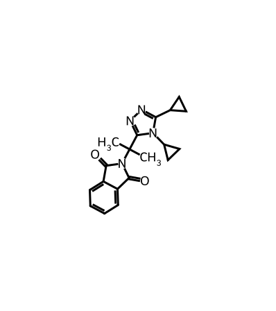 CC(C)(c1nnc(C2CC2)n1C1CC1)N1C(=O)c2ccccc2C1=O